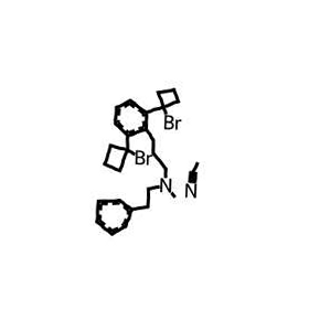 CC#N.CN(CCCc1c(C2(Br)CCC2)cccc1C1(Br)CCC1)CCc1ccccc1